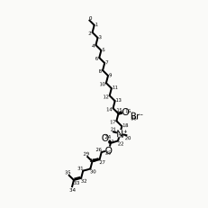 CCCCCCCCCCCCCCCC(=O)CC[N+](C)(C)CC(=O)OC/C=C(\C)CCC=C(C)C.[Br-]